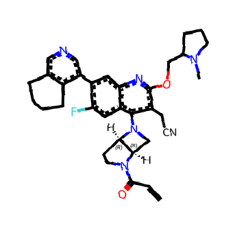 C=CC(=O)N1CC[C@@H]2[C@H]1CN2c1c(CC#N)c(OCC2CCCN2C)nc2cc(-c3cncc4c3CCCC4)c(F)cc12